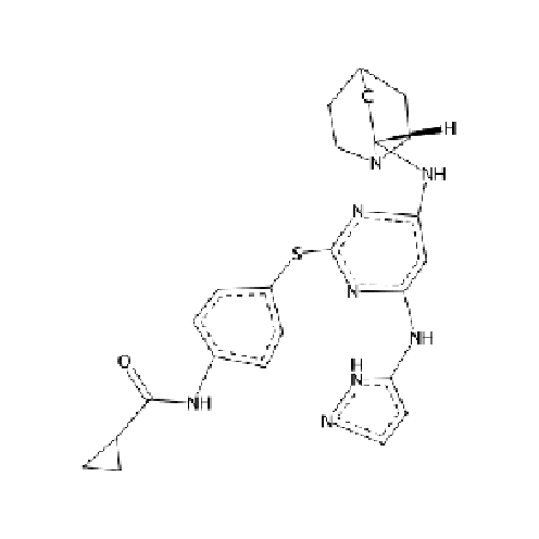 O=C(Nc1ccc(Sc2nc(Nc3ccn[nH]3)cc(N[C@H]3CC4CCN3CC4)n2)cc1)C1CC1